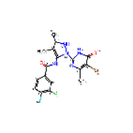 CC1=C(NC(=O)c2ccc(F)c(Cl)c2)N(c2nc(C)c(Br)c(=O)[nH]2)NC1C